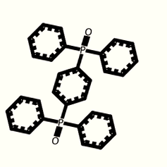 O=P(c1ccccc1)(c1ccccc1)c1ccc(P(=O)(c2ccccc2)c2ccccc2)cc1